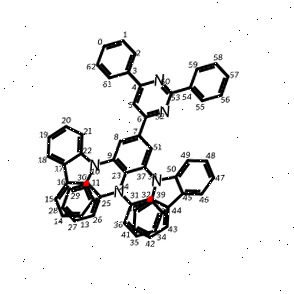 c1ccc(-c2cc(-c3cc(-n4c5ccccc5c5ccccc54)c(N(c4ccccc4)c4ccccc4)c(-n4c5ccccc5c5ccccc54)c3)nc(-c3ccccc3)n2)cc1